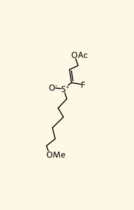 COCCCCCC[S+]([O-])C(F)=CCOC(C)=O